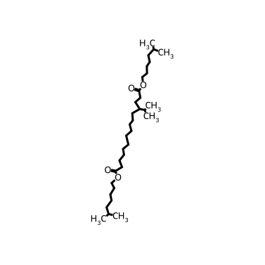 CC(C)CCCCCOC(=O)CCCCCCCCCCC(CCC(=O)OCCCCCC(C)C)C(C)C